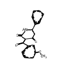 COc1cccc(C(=O)C2C(=O)CC(c3ccccc3)NC2=O)c1